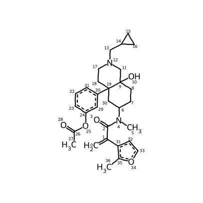 C=C(C(=O)N(C)C1CCC2(O)CN(CC3CC3)CCC2(c2cccc(OC(C)=O)c2)C1)c1ccoc1C